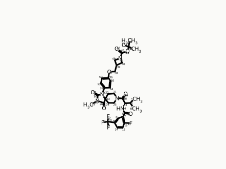 CC(C)[C@@H](NC(=O)c1cc(C(F)(F)F)ccc1F)C(=O)N1CCC2(CC1)C(=O)N(C)C(=O)N2c1ccc(OCC2CN(C(=O)OC(C)(C)C)C2)cc1